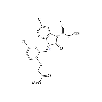 COC(=O)COc1ccc(Cl)cc1/C=C1/C(=O)N(C(=O)OC(C)(C)C)c2cc(Cl)ccc21